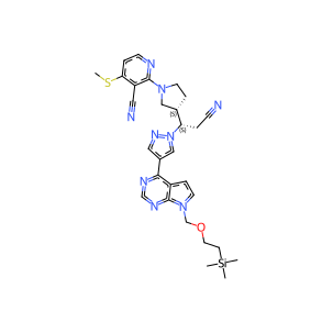 CSc1ccnc(N2CC[C@H]([C@H](CC#N)n3cc(-c4ncnc5c4ccn5COCC[Si](C)(C)C)cn3)C2)c1C#N